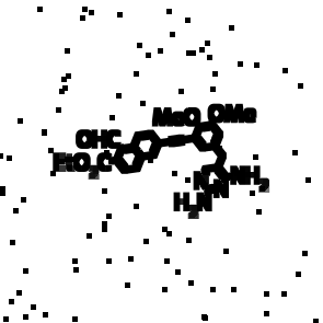 CCOC(=O)c1ccc2cc(C#Cc3cc(Cc4cnc(N)nc4N)cc(OC)c3OC)ccc2c1C=O